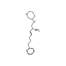 NC(C=CCCCc1ccccc1)COC1CCCOC1